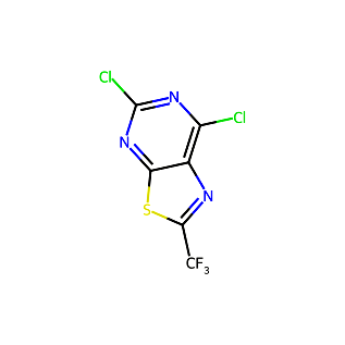 FC(F)(F)c1nc2c(Cl)nc(Cl)nc2s1